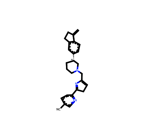 C=C1CCc2cc([C@H]3CCCN(CC4=CCC(c5ccc(C#N)cn5)=N4)C3)ccc21